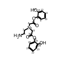 NCCN(CC(=O)Oc1ccccc1O)CC(=O)Oc1ccccc1O